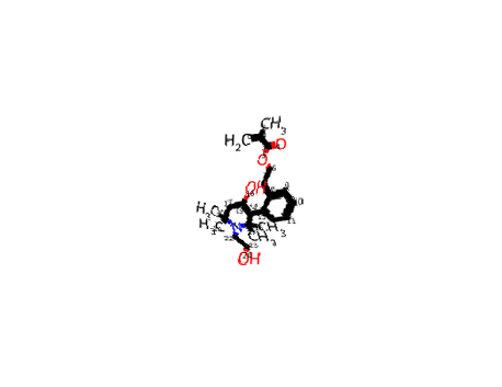 C=C(C)C(=O)OCCc1ccccc1C1C(O)CC(C)(C)N(CCO)C1(C)C